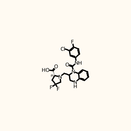 O=C(O)[C@H]1CC(F)(F)CN1CC1CNc2ccccc2N1C(=O)Nc1ccc(F)c(Cl)c1